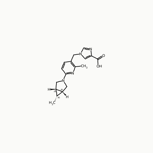 Cc1nc(N2C[C@@H]3[C@H](C)[C@@H]3C2)ccc1Cn1cnc(C(=O)O)c1